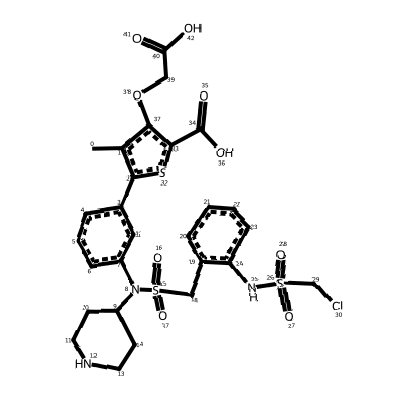 Cc1c(-c2cccc(N(C3CCNCC3)S(=O)(=O)Cc3ccccc3NS(=O)(=O)CCl)c2)sc(C(=O)O)c1OCC(=O)O